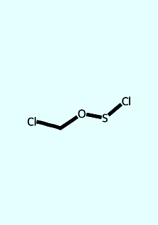 ClCOSCl